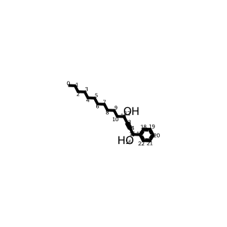 CCCCCCCCCCCC(O)C#CC(O)c1ccccc1